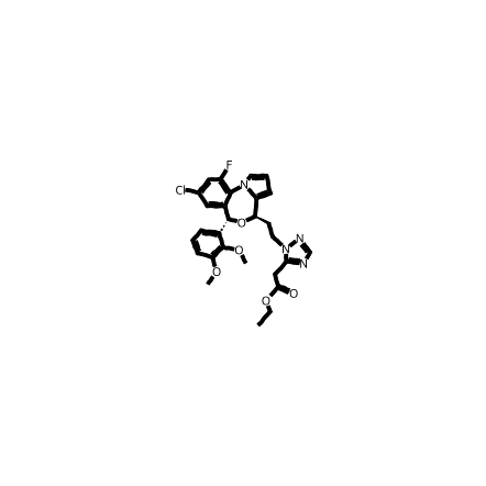 CCOC(=O)Cc1ncnn1CC[C@H]1O[C@H](c2cccc(OC)c2OC)c2cc(Cl)cc(F)c2-n2cccc21